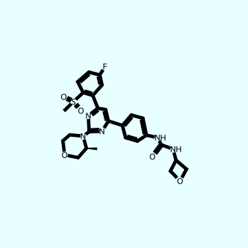 C[C@H]1COCCN1c1nc(-c2ccc(NC(=O)NC3COC3)cc2)cc(-c2cc(F)ccc2S(C)(=O)=O)n1